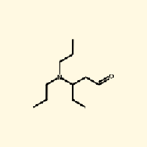 CCCN(CCC)C(CC)CC=O